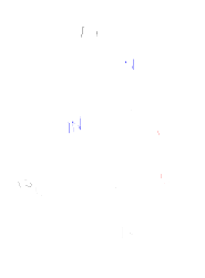 CCN(C)C(=O)NC(C(=O)C(C)C)C(C)(C)C